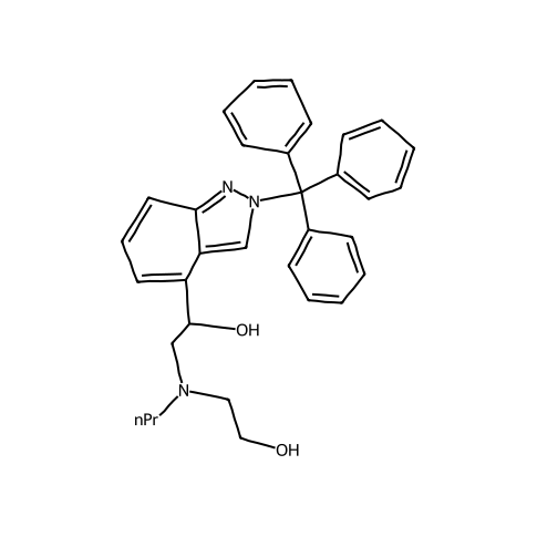 CCCN(CCO)CC(O)c1cccc2nn(C(c3ccccc3)(c3ccccc3)c3ccccc3)cc12